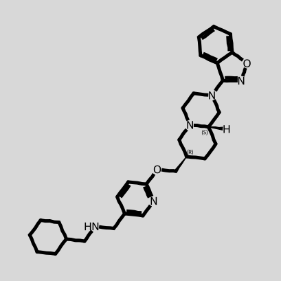 c1ccc2c(N3CCN4C[C@H](COc5ccc(CNCC6CCCCC6)cn5)CC[C@H]4C3)noc2c1